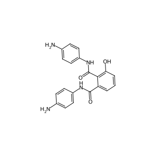 Nc1ccc(NC(=O)c2cccc(O)c2C(=O)Nc2ccc(N)cc2)cc1